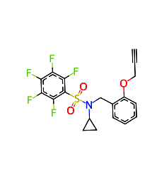 C#CCOc1ccccc1CN(C1CC1)S(=O)(=O)c1c(F)c(F)c(F)c(F)c1F